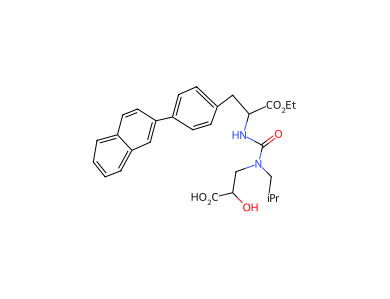 CCOC(=O)C(Cc1ccc(-c2ccc3ccccc3c2)cc1)NC(=O)N(CC(C)C)CC(O)C(=O)O